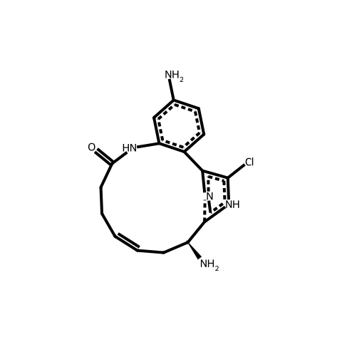 Nc1ccc2c(c1)NC(=O)CCC=CC[C@H](N)c1nc-2c(Cl)[nH]1